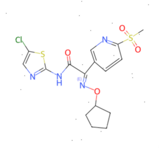 CS(=O)(=O)c1ccc(/C(=N\OC2CCCC2)C(=O)Nc2ncc(Cl)s2)cn1